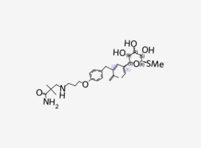 C=C(C)/C(=C\C(=C/C)[C@@H]1O[C@H](SC)[C@@H](O)[C@H](O)[C@H]1O)Cc1ccc(OCCCNCC(C)(C)C(N)=O)cc1